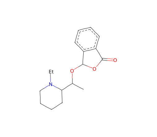 CCN1CCCCC1C(C)OC1OC(=O)c2ccccc21